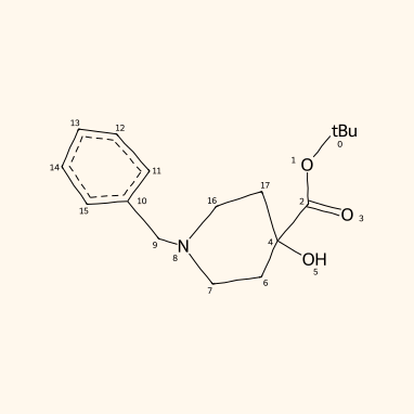 CC(C)(C)OC(=O)C1(O)CCN(Cc2ccccc2)CC1